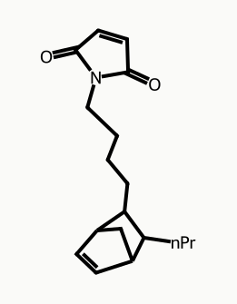 CCCC1C2C=CC(C2)C1CCCCN1C(=O)C=CC1=O